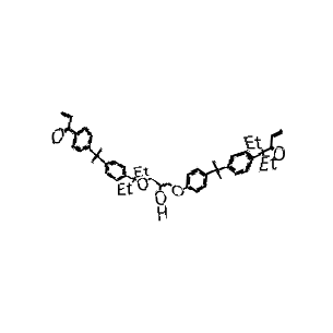 C=CC(=O)c1ccc(C(C)(C)c2ccc(C(CC)(CC)OCC(O)COc3ccc(C(C)(C)c4ccc(C(CC)(CC)C(=O)C=C)cc4)cc3)cc2)cc1